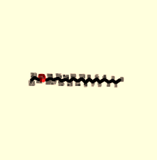 CCCCCCCCCCCCCCCCCCCCOCCC